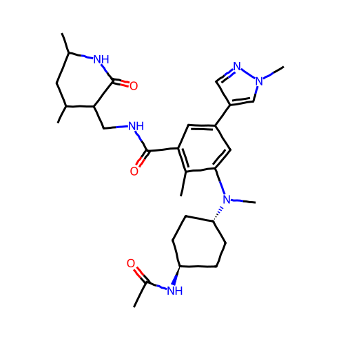 CC(=O)N[C@H]1CC[C@H](N(C)c2cc(-c3cnn(C)c3)cc(C(=O)NCC3C(=O)NC(C)CC3C)c2C)CC1